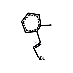 CCCC/C=C/c1ccccc1C